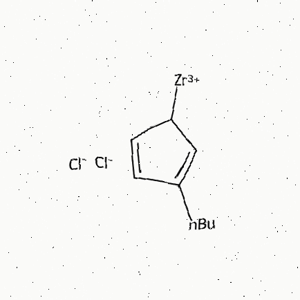 CCCCC1=C[CH]([Zr+3])C=C1.[Cl-].[Cl-]